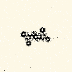 O=C1C(=Cc2cc(O)c(C=C3C(=O)N(c4ccccc4)C(=S)N(c4ccccc4)C3=O)cc2O)C(=O)N(c2ccccc2)C(=S)N1c1ccccc1